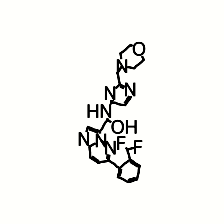 OC(Nc1ccnc(CN2CCOCC2)n1)c1cnc2ccc(-c3ccccc3C(F)F)nn12